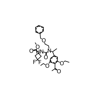 CCOc1cc(C(C)N(CCOCc2ccccc2)C(=O)NC2(C(=O)OC)CC(F)(F)C2)cc(OCC)c1C(C)=O